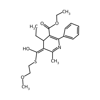 CCOC(=O)C1=C(c2ccccc2)N=C(C)/C(=C(/O)SCCOC)C1CC